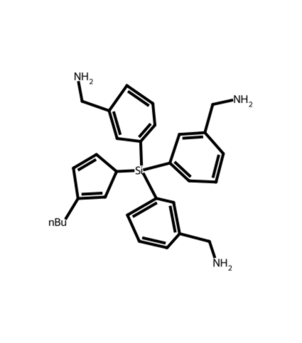 CCCCC1=C[C]([Si](c2cccc(CN)c2)(c2cccc(CN)c2)c2cccc(CN)c2)C=C1